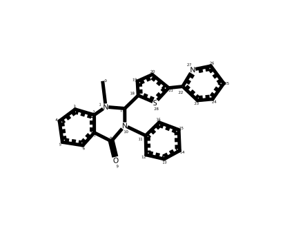 CN1c2ccccc2C(=O)N(c2ccccc2)C1c1ccc(-c2ccccn2)s1